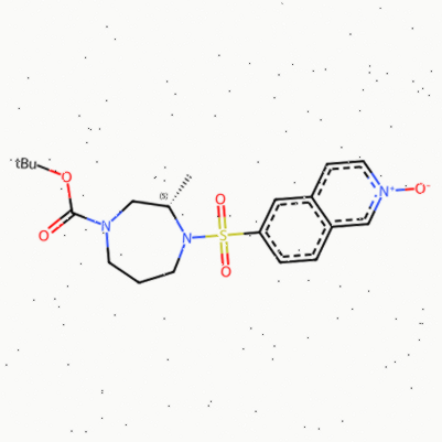 C[C@H]1CN(C(=O)OC(C)(C)C)CCCN1S(=O)(=O)c1ccc2c[n+]([O-])ccc2c1